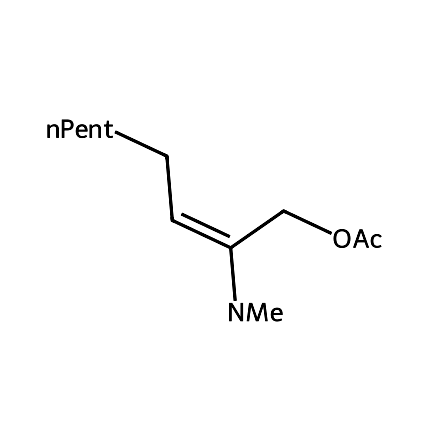 CCCCCCC=C(COC(C)=O)NC